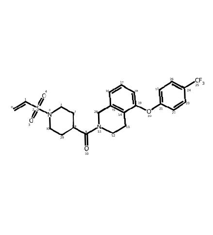 C=CS(=O)(=O)N1CCC(C(=O)N2CCc3c(cccc3Oc3ccc(C(F)(F)F)cc3)C2)CC1